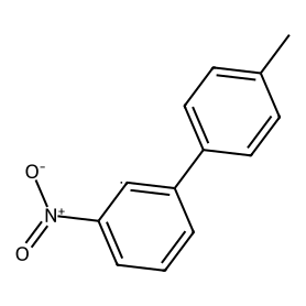 Cc1ccc(-c2[c]c([N+](=O)[O-])ccc2)cc1